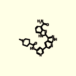 CN1CCC(C(=O)Nc2cncc(-c3cnc4[nH]nc(-c5nc6c(C(N)=O)cccc6[nH]5)c4c3)c2)CC1